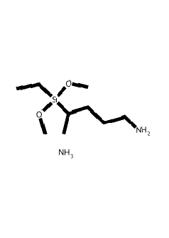 CC[Si](OC)(OC)C(C)CCCN.N